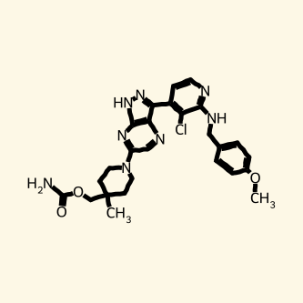 COc1ccc(CNc2nccc(-c3n[nH]c4nc(N5CCC(C)(COC(N)=O)CC5)cnc34)c2Cl)cc1